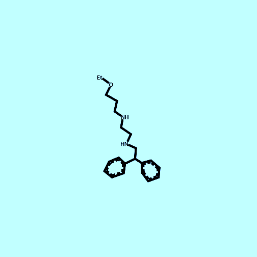 CCOCCCNCCNCC(c1ccccc1)c1ccccc1